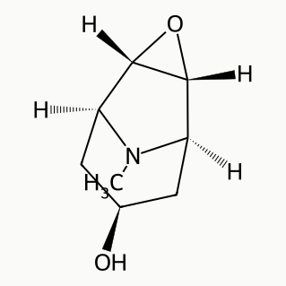 CN1[C@@H]2C[C@@H](O)C[C@H]1[C@@H]1O[C@@H]12